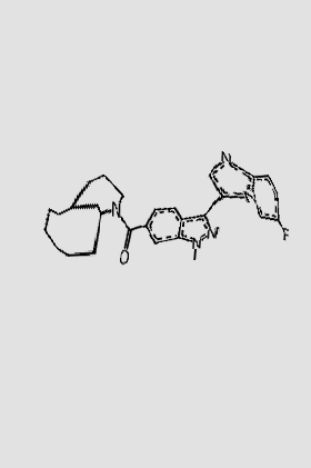 Cn1nc(-c2cnc3ccc(F)cn23)c2ccc(C(=O)N3CCCC4CCCCC43)cc21